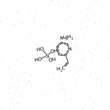 C=Cc1ccccn1.O[Si](O)(O)O.[MgH2]